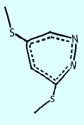 CSc1cnnc(SC)c1